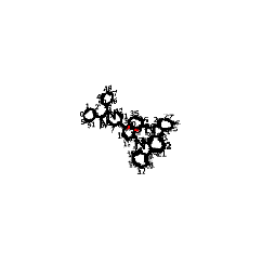 c1ccc(-c2nc3cc(-c4ccc(-n5c6ccccc6c6ccc7c8ccccc8n(-c8ccccc8)c7c65)cc4)ccn3c2-c2ccccc2)cc1